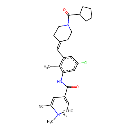 Cc1c(C=C2CCN(C(=O)C3CCCC3)CC2)cc(Cl)cc1NC(=O)C(/C=C(/C#N)N(C)C)=C/C=O